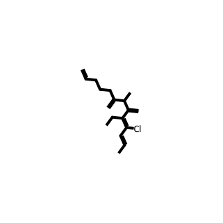 C=CCCCC(=C)C(C)C(=C)/C(CC)=C(Cl)/C=C/C